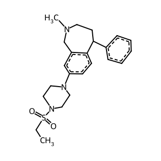 CCS(=O)(=O)N1CCN(c2ccc3c(c2)CN(C)CCC3c2ccccc2)CC1